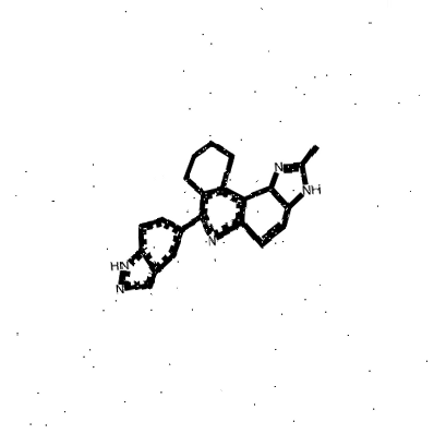 CC1=NC2c3c(nc(-c4ccc5[nH]ncc5c4)c4c3CCCC4)C=CC2N1